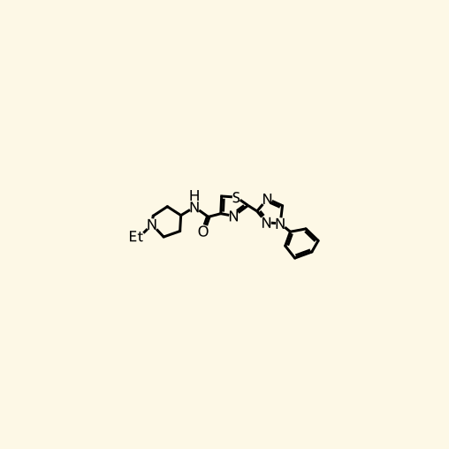 CCN1CCC(NC(=O)c2csc(-c3ncn(-c4ccccc4)n3)n2)CC1